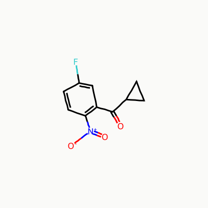 O=C(c1cc(F)ccc1[N+](=O)[O-])C1CC1